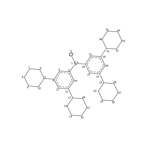 [O-][S+](c1cc(C2CCCCC2)cc(C2CCCCC2)c1)c1cc(C2CCCCC2)cc(C2CCCCC2)c1